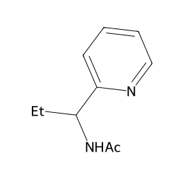 CCC(NC(C)=O)c1ccccn1